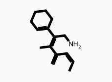 C=C(/C=C\C)/C(C)=C(\CN)C1=CCCCC1